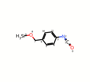 O=C=Nc1ccc(CO[SiH3])cc1